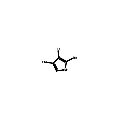 CCc1c[nH][c]([Ru])c1CC